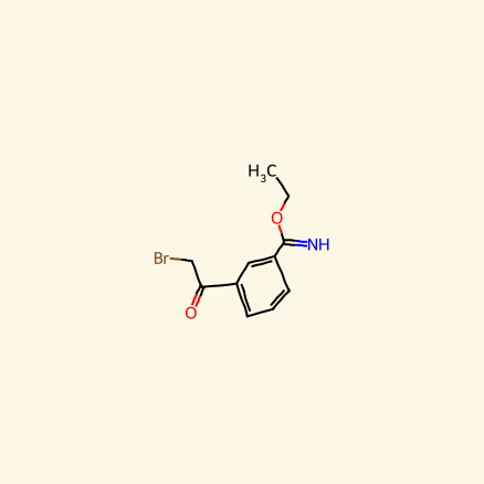 CCOC(=N)c1cccc(C(=O)CBr)c1